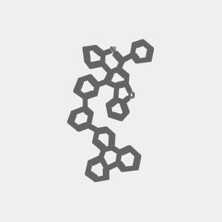 c1ccc(-c2nc3ccccc3c3c(-c4cccc(-c5cccc(-c6ccc7c8ccccc8c8ccccc8c7c6)c5)c4)c4c(cc23)oc2ccccc24)cc1